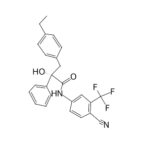 CCc1ccc(C[C@@](O)(C(=O)Nc2ccc(C#N)c(C(F)(F)F)c2)c2ccccc2)cc1